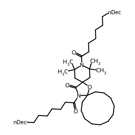 CCCCCCCCCCCCCCCCC(=O)N1C(C)(C)CC2(CC1(C)C)OC1(CCCCCCCCCCC1)N(C(=O)CCCCCCCCCCCCCCCC)C2=O